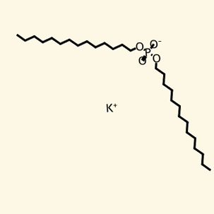 CCCCCCCCCCCCCCOP(=O)([O-])OCCCCCCCCCCCCCC.[K+]